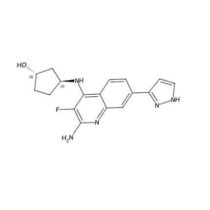 Nc1nc2cc(-c3cc[nH]n3)ccc2c(N[C@H]2CC[C@H](O)C2)c1F